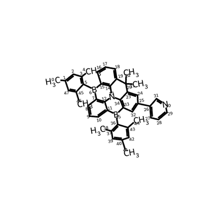 Cc1cc(C)c(B2c3cccc4c3N3c5c2cccc5C(C)(C)c2cc(-c5cccnc5)cc(c23)B4c2c(C)cc(C)cc2C)c(C)c1